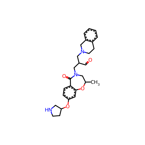 CC1CN(CC(C=O)CN2CCc3ccccc3C2)C(=O)c2ccc(OC3CCNC3)cc2O1